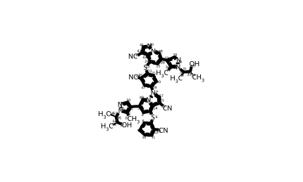 Cc1c(-c2cc(Sc3ccccc3C#N)c3c(C#N)c[n+](-c4ccc(Sc5cc(-c6cnn([C@H](C)[C@@H](C)O)c6C)cn6ncc(C#N)c56)c(C#N)c4)n3c2)cnn1[C@H](C)[C@H](C)O